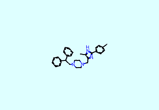 Cc1ccc(-c2nc(CN3CCN(CC(c4ccccc4)c4ccccc4)CC3)c(C)[nH]2)cc1